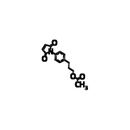 CC(=O)OCCCc1ccc(N2C(=O)C=CC2=O)cc1